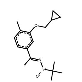 CC(=N[S@@+]([O-])C(C)(C)C)c1ccc(C)c(OCC2CC2)c1